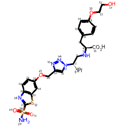 CC(C)[C@@H](CN[C@@H](Cc1ccc(OCCO)cc1)C(=O)O)n1cc(COc2ccc3nc(S(N)(=O)=O)sc3c2)nn1